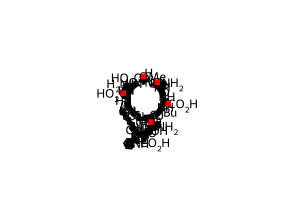 CCC(C)CCCCCCC(=O)NC(Cc1c[nH]c2ccccc12)C(=O)NC(CCC(=O)O)C(=O)NC(C(=O)NC1C(=O)N(C)CC(=O)NC(C)C(=O)NC(CC(=O)O)C(=O)NC(CC(N)=O)C(=O)NC(C(OC)C(=O)O)C(=O)NCC(=O)NC(CC(N)=O)C(=O)NC(CCC(=O)O)C(=O)NC(C(C)CC)C(=O)OC1C)C(O)C(N)=O